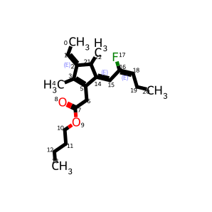 C/C=C1C(C)=C(CC(=O)OCCCC)/C(=C/C(F)=C\CC)C/1C